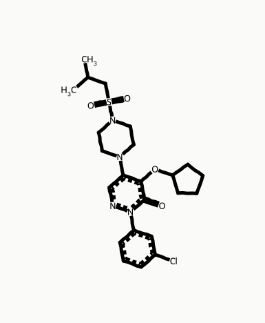 CC(C)CS(=O)(=O)N1CCN(c2cnn(-c3cccc(Cl)c3)c(=O)c2OC2CCCC2)CC1